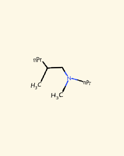 CCCC(C)CN(C)CCC